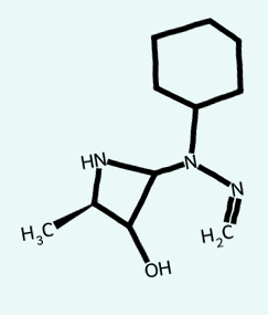 C=NN(C1CCCCC1)C1N[C@H](C)C1O